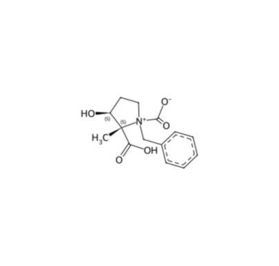 C[C@@]1(C(=O)O)[C@@H](O)CC[N+]1(Cc1ccccc1)C(=O)[O-]